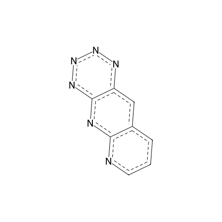 c1cnc2nc3nnnnc3cc2c1